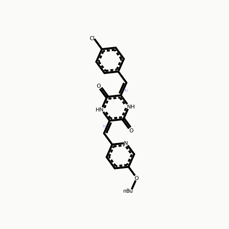 CCCCOc1ccc(/C=c2/[nH]c(=O)/c(=C\c3ccc(Cl)cc3)[nH]c2=O)nc1